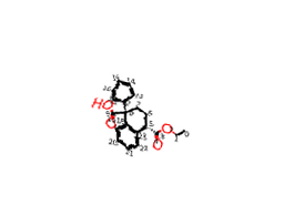 CCOC(=O)[C@H]1CC[C@](C(=O)O)(c2ccccc2)c2ccccc21